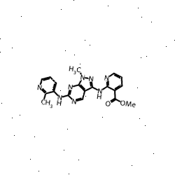 COC(=O)c1cccnc1Nc1nn(C)c2nc(Nc3cccnc3C)ncc12